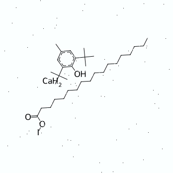 CCCCCCCCCCCCCCCCCC(=O)OI.Cc1cc(C(C)(C)C)c(O)c(C(C)(C)C)c1.[CaH2]